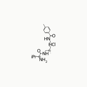 Cc1ccc(C(=O)NCCC[C@H](C)CNC(=O)[C@@H](N)C(C)C)cc1.Cl